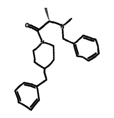 C[C@@H](C(=O)N1CCC(Cc2ccccc2)CC1)N(C)Cc1ccccc1